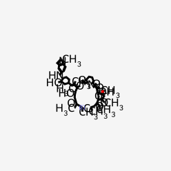 CCC1/C=C(\C)CC(C)CC(OC)C2OC(O)(C(=O)C(=O)N3CCCCC3C(=O)OC(C(C)=CC3CCC(Nc4ccc5c(ccn5C)c4)C(O)C3)C(C)C(O)CC1=O)C(C)CC2OC